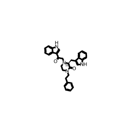 O=C(CN1CCN(CCc2ccccc2)C(=O)[C@@H]1Cc1c[nH]c2ccccc12)c1c[nH]c2ccccc12